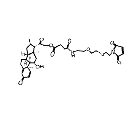 C[C@@H]1C[C@H]2[C@@H]3CCC4=CC(=O)C=C[C@]4(C)[C@@]3(F)[C@@H](O)C[C@]2(C)[C@H]1C(=O)COC(=O)CCC(=O)NCCOCCOCCN1C(=O)C=CC1=O